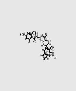 Cc1cc(Cl)nc(Cl)c1C(=O)NCC[C@@H](C)N1CCC(N(Cc2ccsc2)C(=O)C(F)(F)C(F)(F)F)CC1